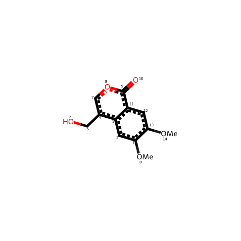 COc1cc2c(CO)coc(=O)c2cc1OC